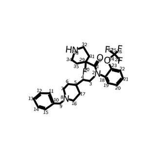 O=C(N(CCC1CCN(Cc2ccccc2)CC1)c1ccccc1OC(F)(F)F)C1(F)CCNCC1